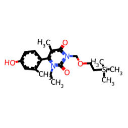 CCn1c(-c2ccc(O)cc2C)c(C)c(=O)n(COCC[Si](C)(C)C)c1=O